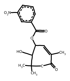 CC1=CC(OC(=O)c2cccc([N+](=O)[O-])c2)C(O)C(C)(C)CC1=O